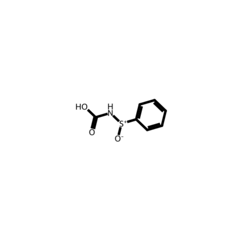 O=C(O)N[S+]([O-])c1ccccc1